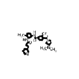 Cc1ccc(NC(=O)c2ccc(CN3CCC(N(C)C)C3)c(C(F)(F)F)c2)cc1NC(=O)C=Cc1cccnc1